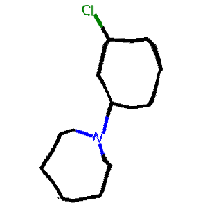 ClC1CCCC(N2CC[CH]CC2)C1